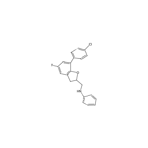 Fc1cc2c(c(-c3ccc(Cl)cc3)c1)OC(CNc1ccccc1)C2